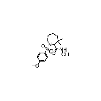 COc1ccc(S(=O)(=O)N2CCCCC(C)(C)C2C(=O)NO)cc1